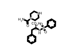 NC(=O)N1CCNCC1.O=C(O)[C@H](Cc1ccccc1)NS(=O)(=O)c1ccccc1